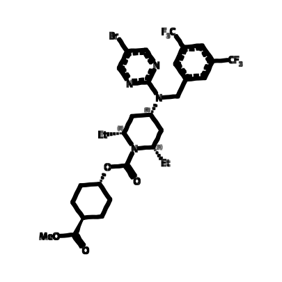 CC[C@@H]1C[C@H](N(Cc2cc(C(F)(F)F)cc(C(F)(F)F)c2)c2ncc(Br)cn2)C[C@H](CC)N1C(=O)O[C@H]1CC[C@H](C(=O)OC)CC1